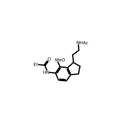 CCC(=O)Nc1ccc2c(c1OC)C(CCNC(C)=O)CC2